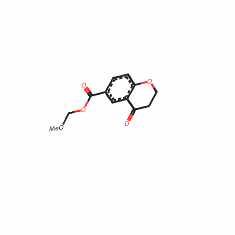 COCOC(=O)c1ccc2c(c1)C(=O)CCO2